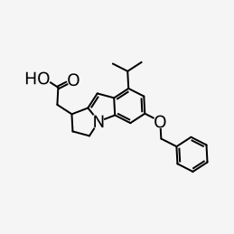 CC(C)c1cc(OCc2ccccc2)cc2c1cc1n2CCC1CC(=O)O